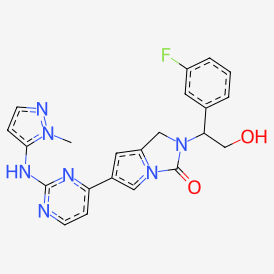 Cn1nccc1Nc1nccc(-c2cc3n(c2)C(=O)N(C(CO)c2cccc(F)c2)C3)n1